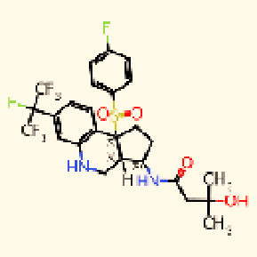 CC(C)(O)CC(=O)N[C@@H]1CC[C@@]2(S(=O)(=O)c3ccc(F)cc3)c3ccc(C(F)(C(F)(F)F)C(F)(F)F)cc3NC[C@@H]12